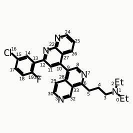 CCN(CC)CCCc1ncc(-c2cc(-c3cc(Cl)ccc3F)nc3ncccc23)c2ccncc12